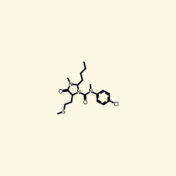 CCCCC1N(C)C(=O)C(CCSC)N1C(=O)N(C)c1ccc(Cl)cc1